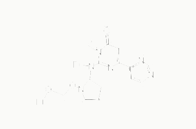 CCOCON1CCCC1N(CC)c1nc(-c2ccncn2)cc(=O)n1C